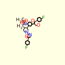 CN(c1cc2oc(-c3ccc(F)cc3)c(C=O)c2cc1C1CCCN(c2ncc(-c3ccc(F)cc3)o2)C1)S(C)(=O)=O